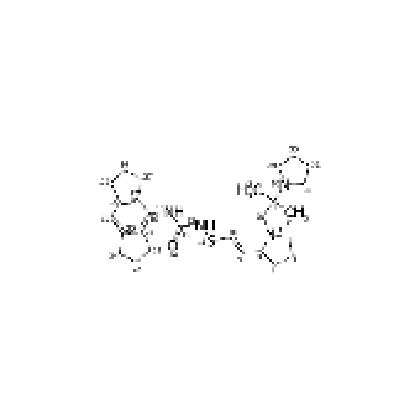 CC(C)(CN1CCCC1/C=C/SNC(=O)Nc1c2c(cc3c1CCC3)CCC2)N1CCCC1